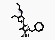 CC/C=C/C1=C(CC)CN(c2nn(CC3=CCC=CC=C3)c(NC)c2C)C1